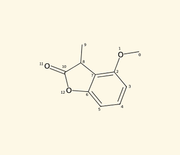 COc1cccc2c1C(C)C(=O)O2